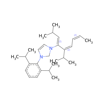 C\C=C/C=C(\C(=C\C(C)C)N1C=CN(c2c(C(C)C)cccc2C(C)C)C1)C(C)C